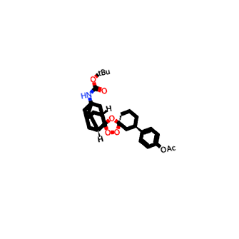 CC(=O)Oc1ccc([C@@H]2CCC[C@]3(C2)OOC2(O3)[C@@H]3CC4C[C@H]2CC(NC(=O)OC(C)(C)C)(C4)C3)cc1